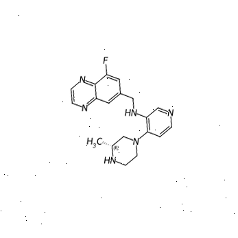 C[C@@H]1CN(c2ccncc2NCc2cc(F)c3nccnc3c2)CCN1